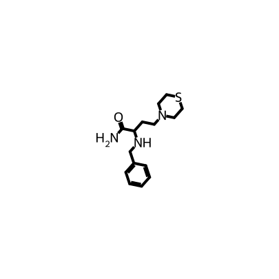 NC(=O)C(CCN1CCSCC1)NCc1ccccc1